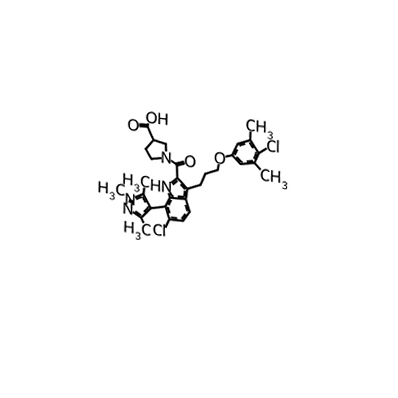 Cc1cc(OCCCc2c(C(=O)N3CCC(C(=O)O)C3)[nH]c3c(-c4c(C)nn(C)c4C)c(Cl)ccc23)cc(C)c1Cl